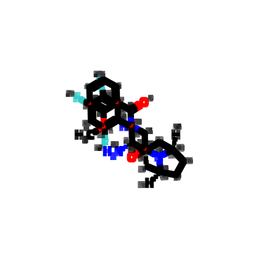 COc1ccccc1C(=O)NCC(=O)N1[C@@H]2CC[C@H]1C[C@H]([C@H](N)Cc1cc(F)c(F)cc1F)C2